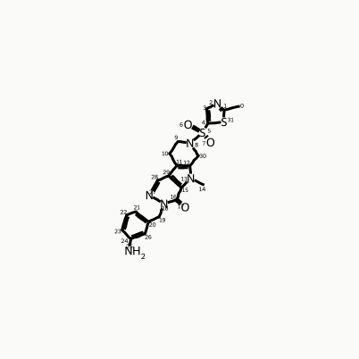 Cc1ncc(S(=O)(=O)N2CCc3c(n(C)c4c(=O)n(Cc5cccc(N)c5)ncc34)C2)s1